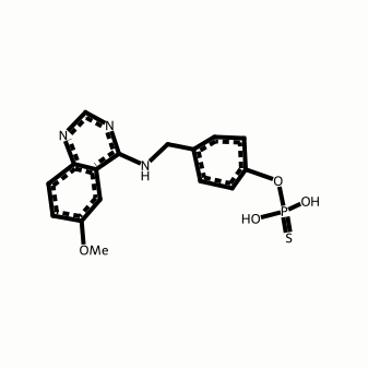 COc1ccc2ncnc(NCc3ccc(OP(O)(O)=S)cc3)c2c1